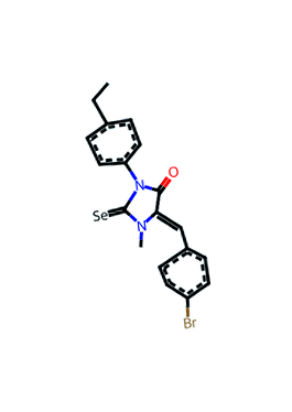 CCc1ccc(N2C(=O)C(=Cc3ccc(Br)cc3)N(C)C2=[Se])cc1